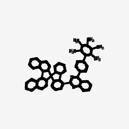 Bc1c(B)c(B)c(-c2ccc(-c3nc(-c4cccc5c4-c4ccccc4C54c5ccc6ccccc6c5-c5c4ccc4ccccc54)nc4ccccc34)cc2)c(B)c1B